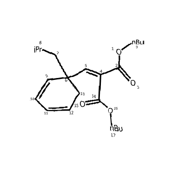 CCCCOC(=O)C(=CC1(CC(C)C)C=CC=CC1)C(=O)OCCCC